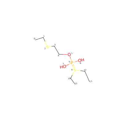 CCSCCOP(O)(O)=S(CC)CC